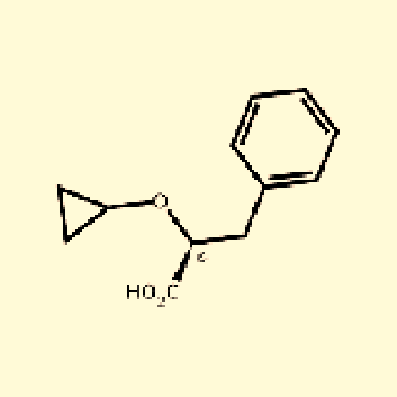 O=C(O)[C@H](Cc1ccccc1)OC1CC1